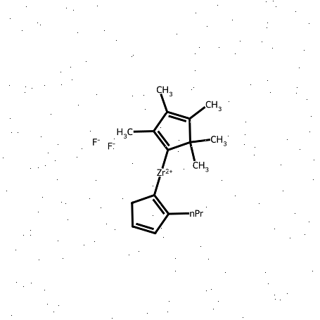 CCCC1=[C]([Zr+2][C]2=C(C)C(C)=C(C)C2(C)C)CC=C1.[F-].[F-]